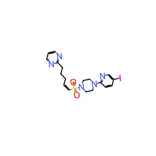 O=S(=O)(/C=C\CCCc1ncccn1)N1CCN(c2ccc(I)cn2)CC1